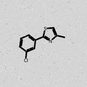 Cc1csc(-c2cc[c]c(Cl)c2)n1